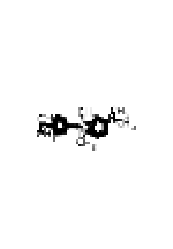 CN(C)c1ccc(C2N(C)c3ccc(N(C)C)cc3N2C)cc1